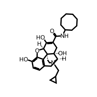 O=C(NC1CCCCCCC1)C1=C(O)[C@@H]2Oc3c(O)ccc4c3[C@@]23CCN(CC2CC2)[C@H](C4)[C@]3(O)C1